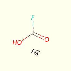 O=C(O)F.[Ag]